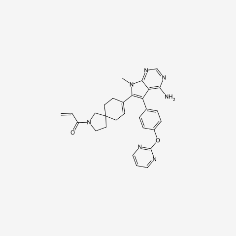 C=CC(=O)N1CCC2(CC=C(c3c(-c4ccc(Oc5ncccn5)cc4)c4c(N)ncnc4n3C)CC2)C1